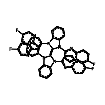 Fc1cnc2cc(N3/C(=C4\N(c5ccc6cc(F)cnc6c5)c5ccccc5N4c4ccc5cc(F)ccc5n4)N(c4ccc5cc(F)ccc5n4)c4ccccc43)ccc2c1